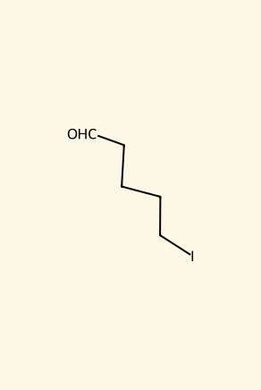 O=CCCCCI